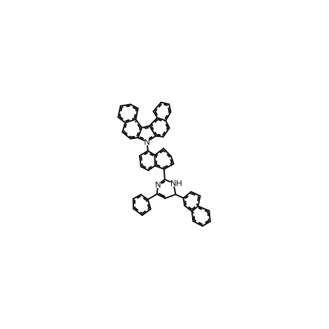 C1=C(c2ccccc2)N=C(c2cccc3c(-n4c5ccc6ccccc6c5c5c6ccccc6ccc54)cccc23)NC1c1ccc2ccccc2c1